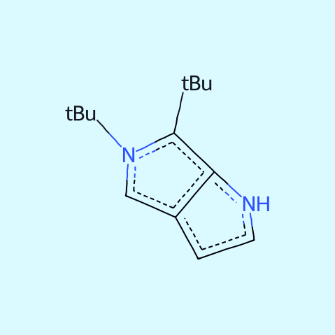 CC(C)(C)c1c2[nH]ccc2cn1C(C)(C)C